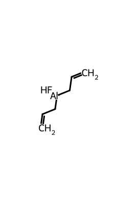 C=C[CH2][Al][CH2]C=C.F